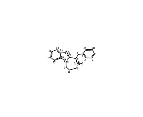 c1ccc(CC2NCCCn3c2nc2ccccc23)cc1